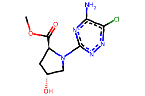 COC(=O)[C@@H]1C[C@@H](O)CN1c1nnc(Cl)c(N)n1